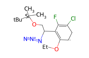 CCOC1=C(C(CO[Si](C)(C)C(C)(C)C)N=[N+]=[N-])C(F)=C(Cl)C[CH]1